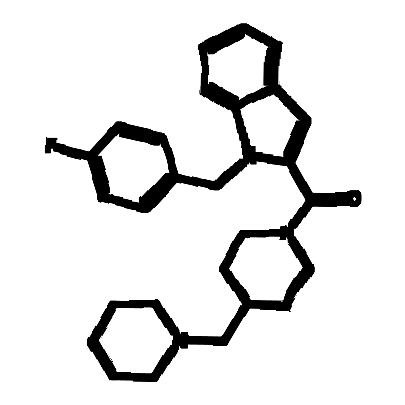 O=C(c1cc2ccccc2n1Cc1ccc(F)cc1)N1CCC(CN2CCCCC2)CC1